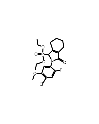 CCOP(=O)(OCC)C1C2=C(CCCC2)C(=O)N1c1cc(OC)c(Cl)cc1F